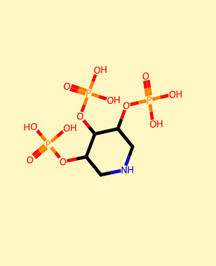 O=P(O)(O)OC1CNCC(OP(=O)(O)O)C1OP(=O)(O)O